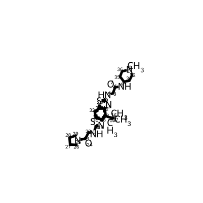 CN1CCC(NC(=O)CNc2nc3c(C(C)(C)C)c4nc(NCC(=O)N5CCCC5)sc4cc3s2)CC1